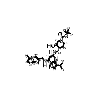 Cc1csc2nc(CNc3cc(NC[C@H]4CCN(C(=O)OC(C)(C)C)C[C@@H]4O)nc4c(C(C)C)cnn34)cn12